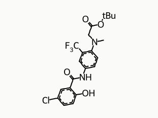 CN(CC(=O)OC(C)(C)C)c1ccc(NC(=O)c2cc(Cl)ccc2O)cc1C(F)(F)F